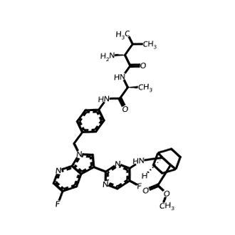 COC(=O)C1C2CCC(CC2)[C@@H]1Nc1nc(-c2cn(Cc3ccc(NC(=O)[C@H](C)NC(=O)[C@@H](N)C(C)C)cc3)c3ncc(F)cc23)ncc1F